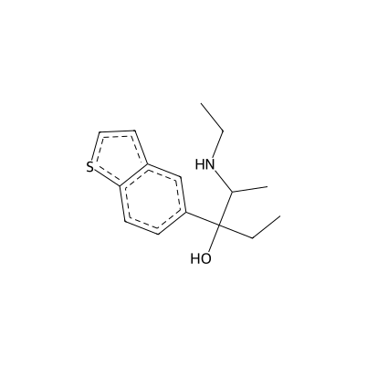 CCNC(C)C(O)(CC)c1ccc2sccc2c1